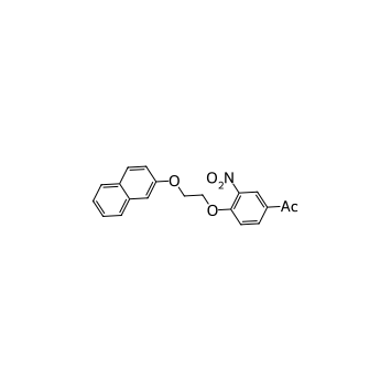 CC(=O)c1ccc(OCCOc2ccc3ccccc3c2)c([N+](=O)[O-])c1